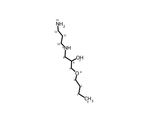 CCCCOCC(O)CNCCCN